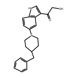 O=C(CO)c1c[nH]c2ccc(N3CCC(Cc4ccccc4)CC3)cc12